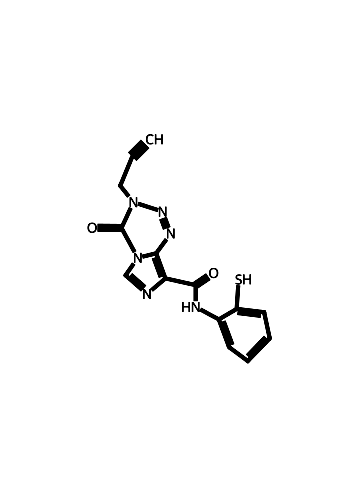 C#CCn1nnc2c(C(=O)Nc3ccccc3S)ncn2c1=O